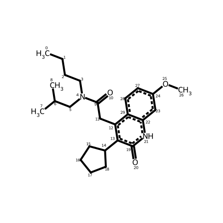 CCCCN(CC(C)C)C(=O)Cc1c(C2CCCC2)c(=O)[nH]c2cc(OC)ccc12